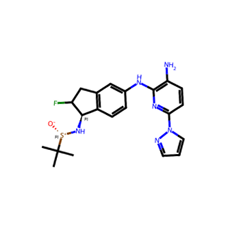 CC(C)(C)[S@+]([O-])N[C@@H]1c2ccc(Nc3nc(-n4cccn4)ccc3N)cc2CC1F